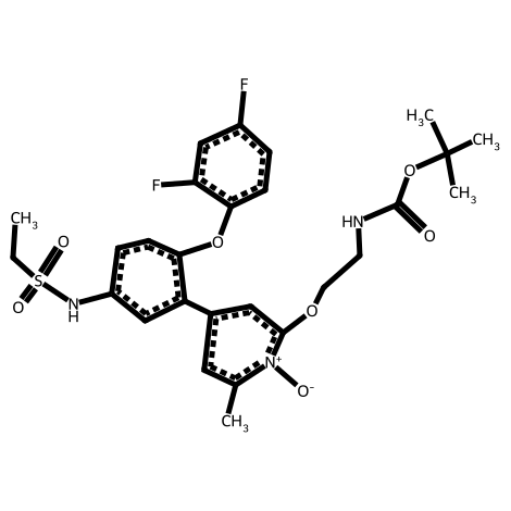 CCS(=O)(=O)Nc1ccc(Oc2ccc(F)cc2F)c(-c2cc(C)[n+]([O-])c(OCCNC(=O)OC(C)(C)C)c2)c1